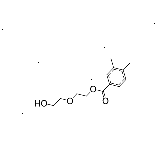 Cc1ccc(C(=O)OCCOCCO)cc1C